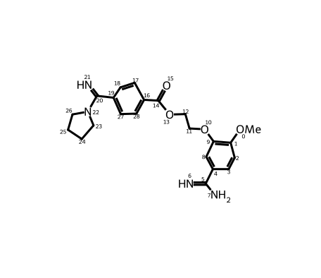 COc1ccc(C(=N)N)cc1OCCOC(=O)c1ccc(C(=N)N2CCCC2)cc1